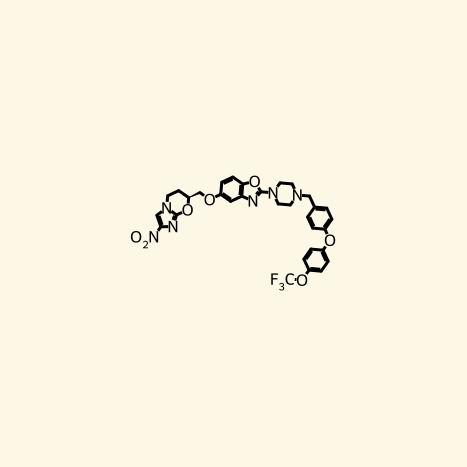 O=[N+]([O-])c1cn2c(n1)O[C@H](COc1ccc3oc(N4CCN(Cc5ccc(Oc6ccc(OC(F)(F)F)cc6)cc5)CC4)nc3c1)CC2